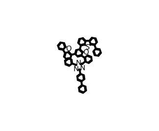 c1ccc(-c2ccc(-c3nc(-c4ccccc4)nc(-c4cccc5oc6c(-c7cccc8c7sc7c(-c9ccccc9)cccc78)cc(-c7cccc8c7oc7ccccc78)cc6c45)n3)cc2)cc1